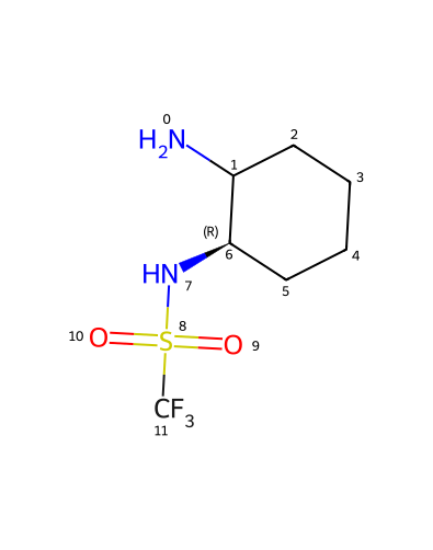 NC1CCCC[C@H]1NS(=O)(=O)C(F)(F)F